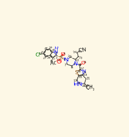 CC(=O)c1c(S(=O)(=O)N2CCN(C(=O)c3nc4c(s3)CNC(C)C4)C(CCC#N)C2)[nH]c2ccc(Cl)cc12